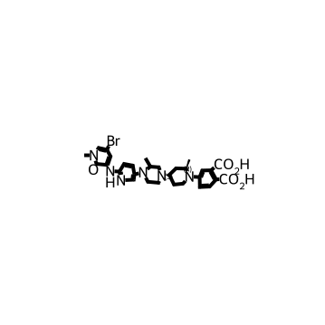 CC1CN([C@H]2CCN(c3ccc(C(=O)O)c(C(=O)O)c3)[C@H](C)C2)CCN1c1ccc(Nc2cc(Br)cn(C)c2=O)nc1